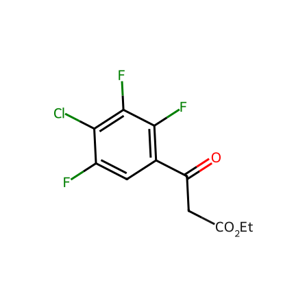 CCOC(=O)CC(=O)c1cc(F)c(Cl)c(F)c1F